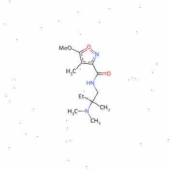 CCC(C)(CNC(=O)c1noc(OC)c1C)N(C)C